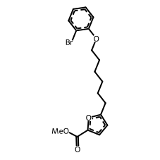 COC(=O)c1ccc(CCCCCCOc2ccccc2Br)o1